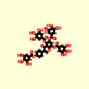 O=C(Oc1ccc(-c2coc3c(OC(=O)c4cc(O)c(O)c(O)c4)cc(OC(=O)c4cc(O)c(O)c(O)c4)c(OC(=O)c4cc(O)c(O)c(O)c4)c3c2=O)cc1)c1cc(O)c(O)c(O)c1